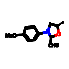 COc1ccc(N2C[C@H](C)OC2C=O)cc1